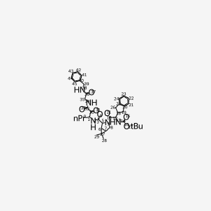 CCCC(NC(=O)C1C2C(CN1C(=O)C(NC(=O)OC(C)(C)C)C1Cc3ccccc3C1)C2(C)C)C(=O)C(=O)NCC(=O)NCc1ccccc1